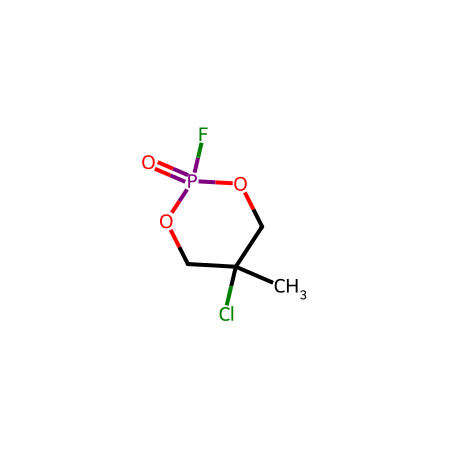 CC1(Cl)COP(=O)(F)OC1